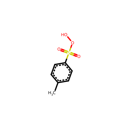 Cc1ccc(S(=O)(=O)OO)cc1